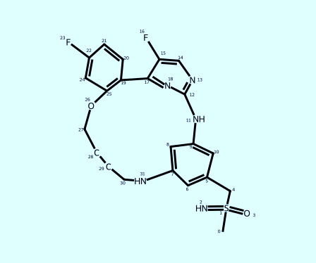 CS(=N)(=O)Cc1cc2cc(c1)Nc1ncc(F)c(n1)-c1ccc(F)cc1OCCCCN2